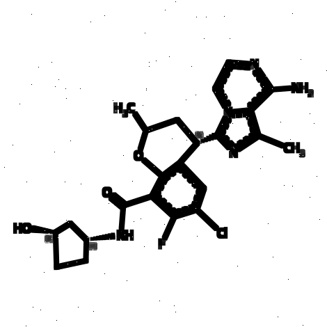 Cc1nc([C@H]2CC(C)Oc3c2cc(Cl)c(F)c3C(=O)N[C@@H]2CC[C@@H](O)C2)n2ccnc(N)c12